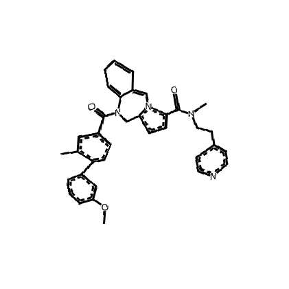 COc1cccc(-c2ccc(C(=O)N3Cc4ccc(C(=O)N(C)CCc5ccncc5)n4C=C4C=CCC=C43)cc2C)c1